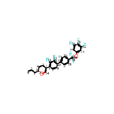 CCCC1CCC(c2ccc(-c3ccc(C(F)(F)Oc4cc(F)c(F)c(F)c4)cc3)c(F)c2F)CO1